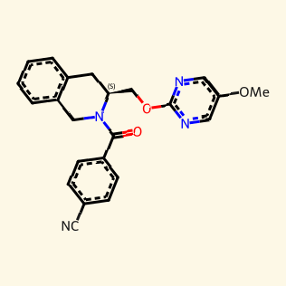 COc1cnc(OC[C@@H]2Cc3ccccc3CN2C(=O)c2ccc(C#N)cc2)nc1